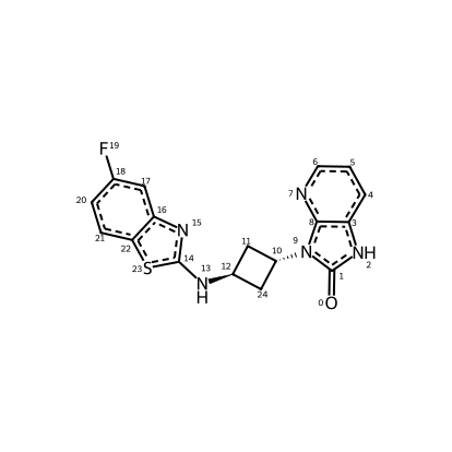 O=c1[nH]c2cccnc2n1[C@H]1C[C@H](Nc2nc3cc(F)ccc3s2)C1